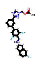 CC(C)(C)C(=O)OCn1cnc(-c2cccc(-c3cc(F)c(CN[C@H]4Cc5ccc(F)cc5C4)c(F)c3)c2)n1